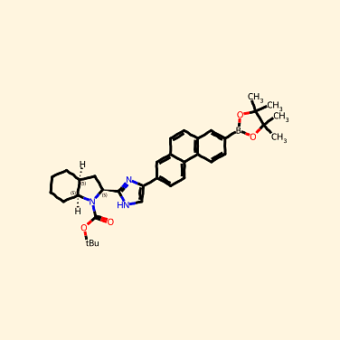 CC(C)(C)OC(=O)N1[C@H](c2nc(-c3ccc4c(ccc5cc(B6OC(C)(C)C(C)(C)O6)ccc54)c3)c[nH]2)C[C@@H]2CCCC[C@@H]21